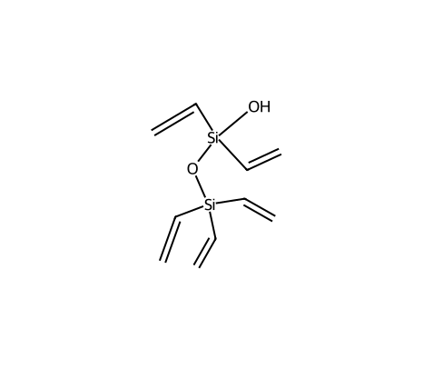 C=C[Si](O)(C=C)O[Si](C=C)(C=C)C=C